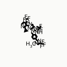 Cn1cc(C(F)(F)F)nc1-c1ccc(Cn2c(=N)n(CC(F)(F)F)c3cnc(-c4c(OC(F)(F)F)ccnc4C4CC4)nc32)cc1